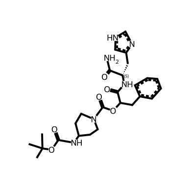 CC(C)(C)OC(=O)NC1CCN(C(=O)OC(Cc2ccccc2)C(=O)N[C@@H](Cc2c[nH]cn2)C(N)=O)CC1